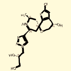 C[C@H]1C[C@@]2(C[C@@H](c3cn(C[C@@H](O)CO)nn3)N1)OC[C@@H](O)c1cc(Cl)sc12